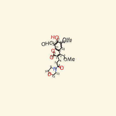 COCc1c(CCC(=O)N2CCOCC2)c(=O)oc2c(C=O)c(O)c(OC)cc12